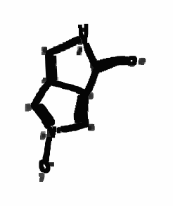 O=C1NC=C2C=[N+]([O-])C=C12